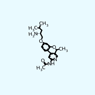 CC(=O)Nc1cc2c(cn1)C(C)Oc1cc(OC[C@H](N)CC(C)C)ccc1-2